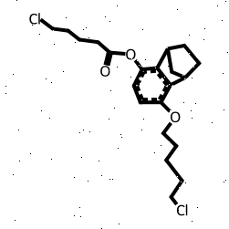 O=C(CCCCCl)Oc1ccc(OCCCCCCl)c2c1C1CCC2C1